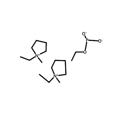 CCOP([O-])[O-].CC[N+]1(C)CCCC1.CC[N+]1(C)CCCC1